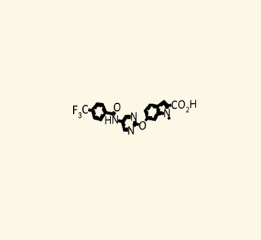 Cn1c(C(=O)O)cc2ccc(Oc3ncc(NC(=O)c4ccc(C(F)(F)F)cc4)cn3)cc21